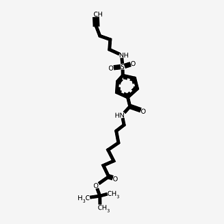 C#CCCCNS(=O)(=O)c1ccc(C(=O)NCCCCCCC(=O)OC(C)(C)C)cc1